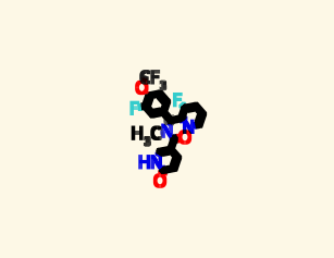 CN(C(=O)c1ccc(=O)[nH]c1)[C@@H](c1ccc(OC(F)(F)F)c(F)c1)c1ncccc1F